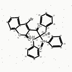 O=C(c1c(Br)c2ccccc2oc1=O)C([PH](=O)c1ccccc1)([PH](=O)c1ccccc1)[PH](=O)c1ccccc1